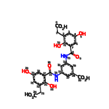 O=C(O)Cc1cc(O)cc(C(=O)Nc2cc(NC(=O)c3cc(O)cc(CC(=O)O)c3O)cc(C(=O)O)c2)c1O